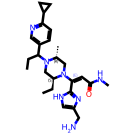 CCC(c1ccc(C2CC2)nc1)N1C[C@H](CC)N(/C(=C/C(=O)NC)c2nc(CN)c[nH]2)C[C@H]1C